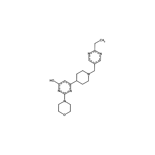 CCc1ncc(CN2CCC(c3cc(O)nc(N4CCOCC4)n3)CC2)cn1